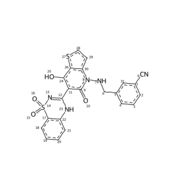 N#Cc1cccc(CNn2c(=O)c(C3=NS(=O)(=O)c4ccccc4N3)c(O)c3sccc32)c1